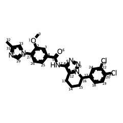 COc1cc(C(=O)Nc2nnn3c2CCCC3c2ccc(Cl)c(Cl)c2)ccc1-n1cnc(C)c1